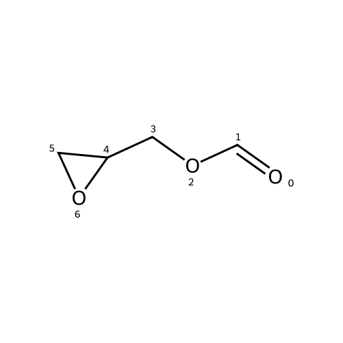 O=COCC1CO1